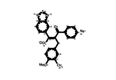 COc1ccc(CC(C(=O)c2ccccc2)=C(C(=O)[O-])c2ccc3nsnc3c2)cc1C.[Na+]